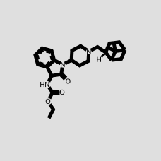 CCOC(=O)NC1C(=O)N(C2CCN(C[C@@H]3CCC4CC3C4(C)C)CC2)c2ccccc21